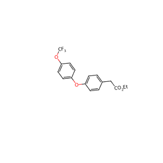 CCOC(=O)Cc1ccc(Oc2ccc(OC(F)(F)F)cc2)cc1